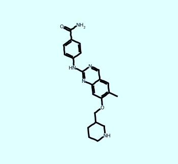 Cc1cc2cnc(Nc3ccc(C(N)=O)cc3)nc2cc1OCC1CCCNC1